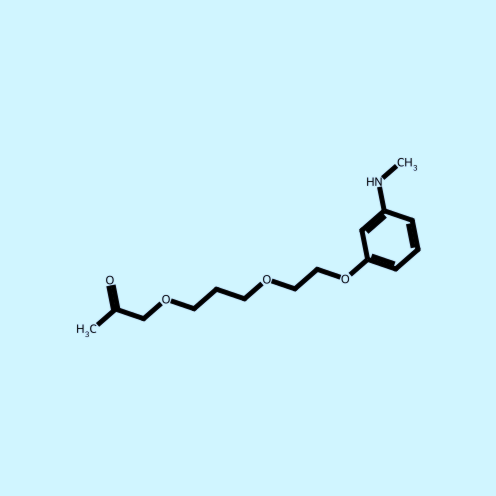 CNc1cccc(OCCOCCCOCC(C)=O)c1